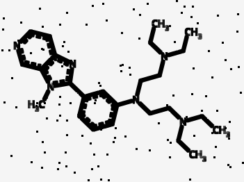 CCN(CC)CCN(CCN(CC)CC)c1cccc(-c2nc3ccncc3n2C)c1